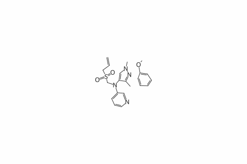 C=CCS(=O)(=O)CN(c1cccnc1)c1cn(C)nc1C.COc1ccccc1